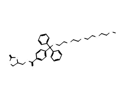 COCCOCCOCCOCCOC(c1ccccc1)(c1ccccc1)c1ccc(C(=O)OCC2COC(=O)O2)cc1